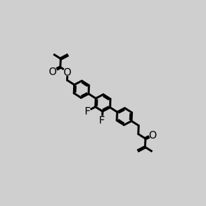 C=C(C)C(=O)CCc1ccc(-c2ccc(-c3ccc(COC(=O)C(=C)C)cc3)c(F)c2F)cc1